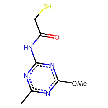 COc1nc(C)nc(NC(=O)CS)n1